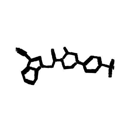 CC1CN(c2ccc([SH](=O)=O)cc2)CCN1C(=O)Cn1cc(C#N)c2ccccc21